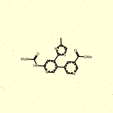 CNC(=O)Nc1cc(-c2nc(C)cs2)c(-c2cncc(C(=O)OC)c2)cn1